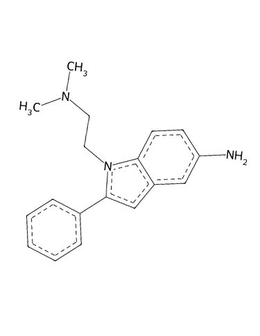 CN(C)CCn1c(-c2ccccc2)cc2cc(N)ccc21